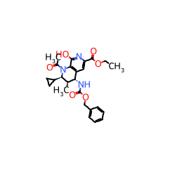 CCOC(=O)c1cc2c(c(O)n1)N(C(C)=O)[C@H](C1CC1)[C@H](C)[C@H]2NC(=O)OCc1ccccc1